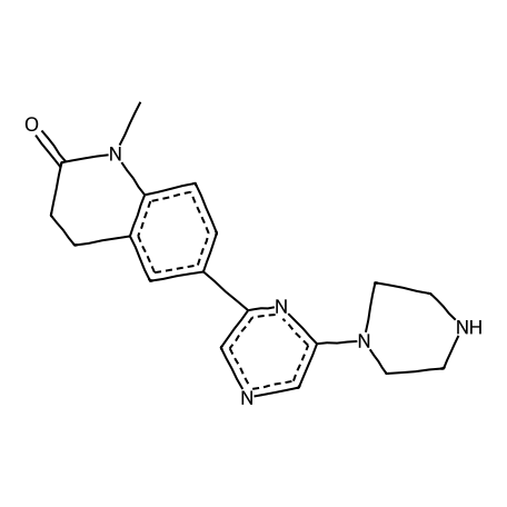 CN1C(=O)CCc2cc(-c3cncc(N4CCNCC4)n3)ccc21